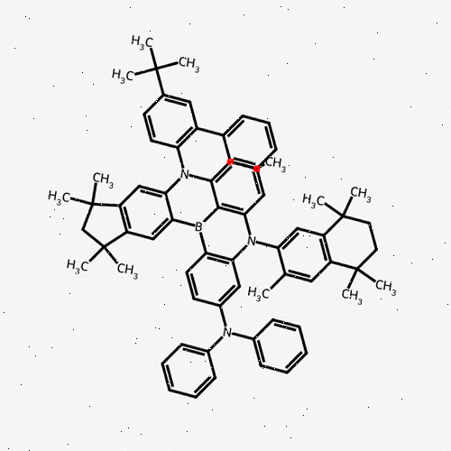 Cc1cc2c3c(c1)N(c1ccc(C(C)(C)C)cc1-c1ccccc1)c1cc4c(cc1B3c1ccc(N(c3ccccc3)c3ccccc3)cc1N2c1cc2c(cc1C)C(C)(C)CCC2(C)C)C(C)(C)CC4(C)C